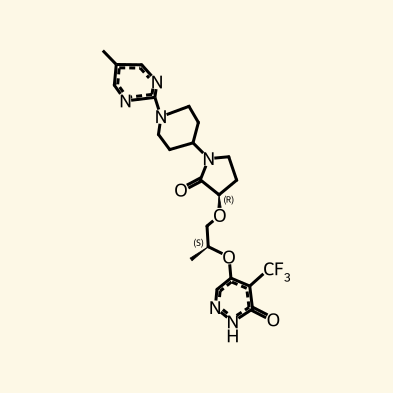 Cc1cnc(N2CCC(N3CC[C@@H](OC[C@H](C)Oc4cn[nH]c(=O)c4C(F)(F)F)C3=O)CC2)nc1